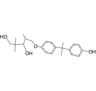 CC(COc1ccc(C(C)(C)c2ccc(O)cc2)cc1)C(O)C(C)(C)CO